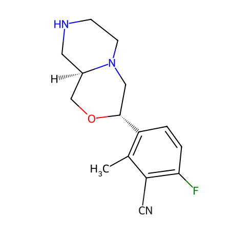 Cc1c([C@H]2CN3CCNC[C@@H]3CO2)ccc(F)c1C#N